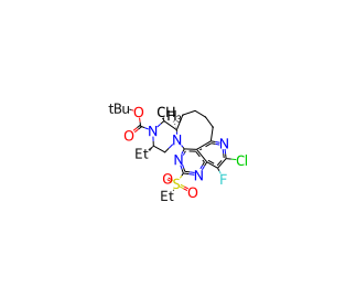 CC[C@@H]1CN2c3nc(S(=O)(=O)CC)nc4c(F)c(Cl)nc(c34)CCCC[C@@H]2[C@H](C)N1C(=O)OC(C)(C)C